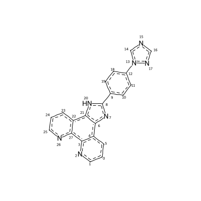 c1cnc2c(c1)c1nc(-c3ccc(-n4cncn4)cc3)[nH]c1c1cccnc12